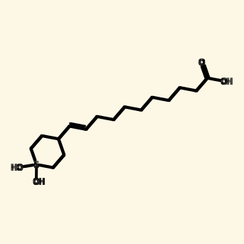 O=C(O)CCCCCCCCC=CC1CCS(O)(O)CC1